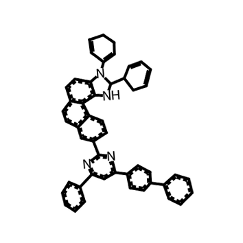 C1=CCC(C2Nc3c(ccc4ccc5cc(-c6nc(-c7ccccc7)cc(-c7ccc(-c8ccccc8)cc7)n6)ccc5c34)N2C2=CCCC=C2)C=C1